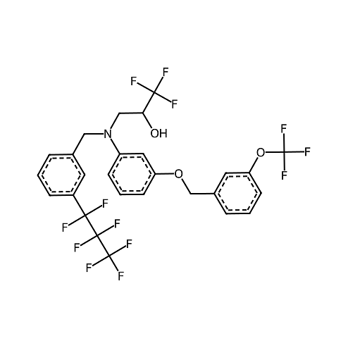 OC(CN(Cc1cccc(C(F)(F)C(F)(F)C(F)(F)F)c1)c1cccc(OCc2cccc(OC(F)(F)F)c2)c1)C(F)(F)F